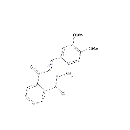 COc1ccc(/C=C/C(=O)c2ccccc2C(=O)ON)cc1OC